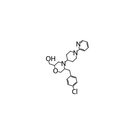 OCC1CN(C2CCN(c3ccccn3)CC2)C(Cc2ccc(Cl)cc2)CO1